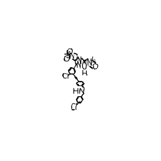 C[C@H]1COCCN1C[C@@H](O)Cn1nc(-c2ccc(Cl)c(C#Cc3ccc(CNCc4ccc(Cl)cc4)cc3)c2)c2c1CCN(S(C)(=O)=O)C2